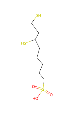 O=S(=O)(O)CCCCCC(S)CCS